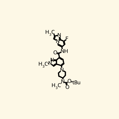 Cc1cn2cc(NC(=O)c3ccc(N4CCC(N(C)C(=O)OC(C)(C)C)CC4)c4cn(C)nc34)cc(F)c2n1